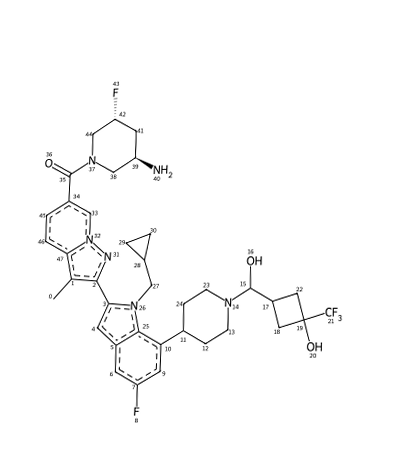 Cc1c(-c2cc3cc(F)cc(C4CCN(C(O)C5CC(O)(C(F)(F)F)C5)CC4)c3n2CC2CC2)nn2cc(C(=O)N3C[C@H](N)C[C@@H](F)C3)ccc12